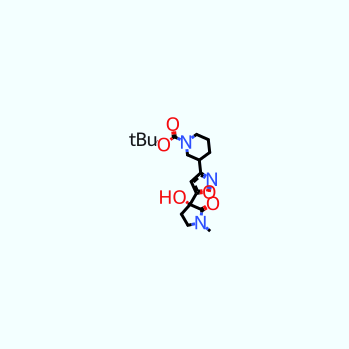 CN1CCC(O)(c2cc(C3CCCN(C(=O)OC(C)(C)C)C3)no2)C1=O